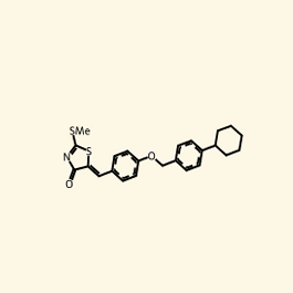 CSC1=NC(=O)C(=Cc2ccc(OCc3ccc(C4CCCCC4)cc3)cc2)S1